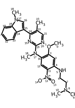 COc1cc(NCCN(C)C)c([N+](=O)[O-])cc1N(C)c1ncc(C)c(-c2cn(C)c3ccccc23)n1